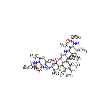 Cc1cc(C)c(NC(=O)OCC(C)C)c(C)c1/N=c1/cc2oc3cc(Nc4c(C)cc(C)c(NC(=O)OCC(C)C)c4C)c(S(=O)(=O)O)cc3c(-c3ccccc3S(=O)(=O)O)c-2cc1S(=O)(=O)O